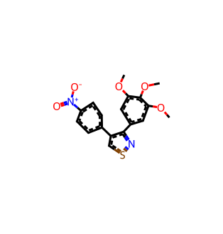 COc1cc(-c2nscc2-c2ccc([N+](=O)[O-])cc2)cc(OC)c1OC